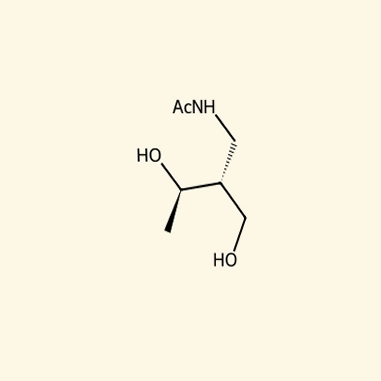 CC(=O)NC[C@H](CO)[C@@H](C)O